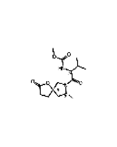 COC(=O)N[C@H](C(=O)N1C[C@]2(CCC(=O)O2)C[C@H]1C)C(C)C